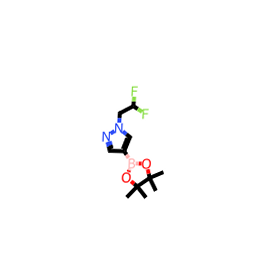 CC1(C)OB(c2cnn(CC(F)F)c2)OC1(C)C